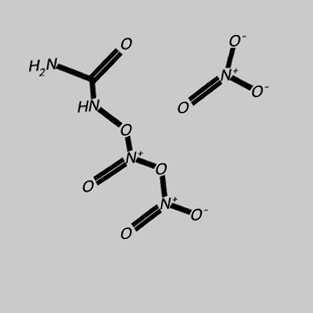 NC(=O)NO[N+](=O)O[N+](=O)[O-].O=[N+]([O-])[O-]